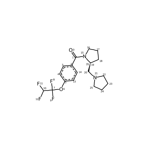 O=C(c1ccc(OC(F)(F)C(F)F)cc1)N1CCC[C@H]1CN1CCCC1